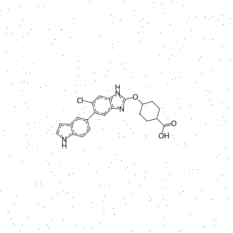 O=C(O)C1CCC(Oc2nc3cc(-c4ccc5[nH]ccc5c4)c(Cl)cc3[nH]2)CC1